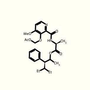 CCC(CC)[C@@H](c1ccccc1)C(C)OC(=O)[C@H](C)NC(=O)c1nccc(OC)c1OCOC(C)=O